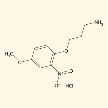 COc1ccc(OCCCN)c([N+](=O)[O-])c1.Cl